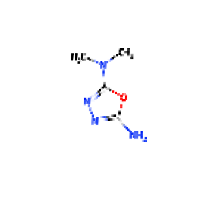 CN(C)c1nnc(N)o1